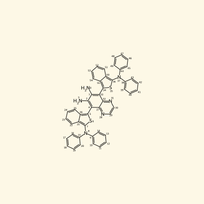 Nc1c(N)c(-c2sc(N(c3ccccc3)c3ccccc3)c3ccccc23)c2nccnc2c1-c1sc(N(c2ccccc2)c2ccccc2)c2ccccc12